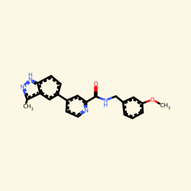 COc1cccc(CNC(=O)c2cc(-c3ccc4[nH]nc(C)c4c3)ccn2)c1